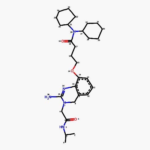 CC(C)NC(=O)CN1Cc2cccc(OCCCC(=O)N(C3CCCCC3)C3CCCCC3)c2N=C1N